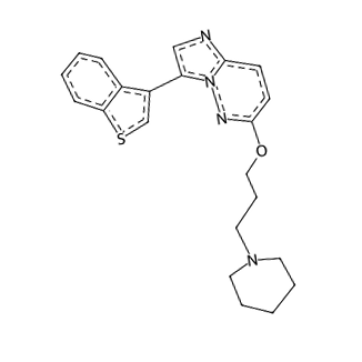 c1ccc2c(-c3cnc4ccc(OCCCN5CCCCC5)nn34)csc2c1